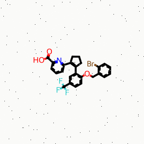 O=C(O)c1cccc(C2=C(c3cc(C(F)(F)F)ccc3OCc3ccccc3Br)CCC2)n1